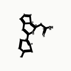 Cc1ccc(-c2cc3cccc-3c(CC(=O)O)o2)cc1